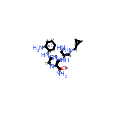 N=C/C(=C\NCC1CC1)Nc1nc(N[C@@H]2CCCC[C@@H]2N)cnc1C(N)=O